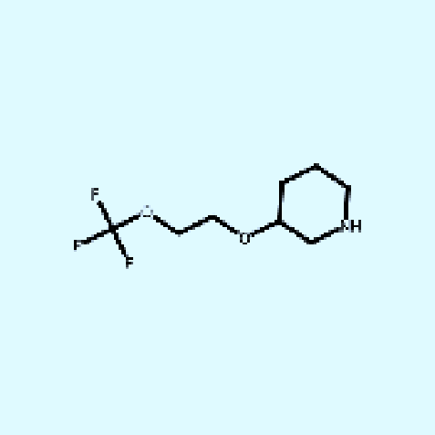 FC(F)(F)OCCOC1CCCNC1